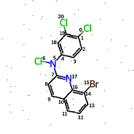 Clc1ccc(N(Cl)c2ccc3cccc(Br)c3n2)cc1Cl